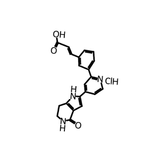 Cl.O=C(O)C=Cc1cccc(-c2cc(-c3cc4c([nH]3)CCNC4=O)ccn2)c1